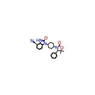 CC1(C)OC(=O)N(C2CCC(n3c(=O)[nH]c4c(C#N)cccc43)CC2)C1c1ccccc1